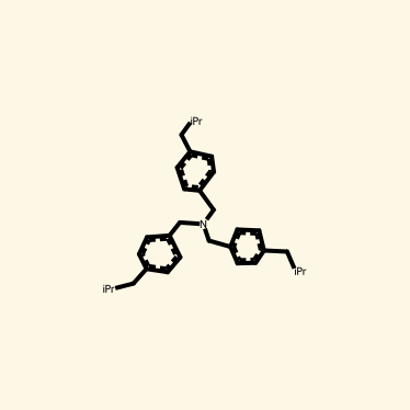 CC(C)Cc1ccc(CN(Cc2ccc(CC(C)C)cc2)Cc2ccc(CC(C)C)cc2)cc1